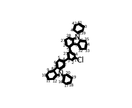 Clc1cc(-c2ccc3c4ccccc4n(-c4ccccc4)c3c2)cc(-c2cccc3c2c2ccccc2n3-c2ccccc2)c1